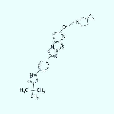 CC(C)(C)c1cc(-c2ccc(-c3cn4c(n3)sc3nc(OCCN5CCC6(CC6)C5)ccc34)cc2)no1